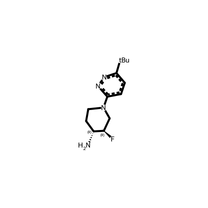 CC(C)(C)c1ccc(N2CC[C@@H](N)[C@H](F)C2)nn1